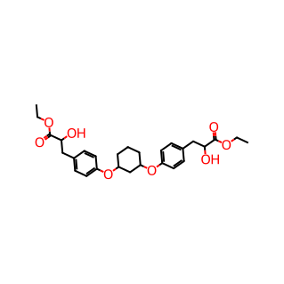 CCOC(=O)C(O)Cc1ccc(OC2CCCC(Oc3ccc(CC(O)C(=O)OCC)cc3)C2)cc1